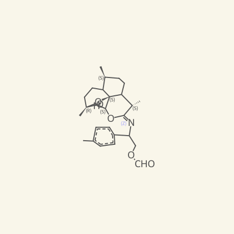 Cc1ccc(C(COC=O)/N=C2\O[C@H]3C[C@@]4(C)CCC5[C@@H](C)CCC([C@@H]2C)[C@@]53OO4)cc1